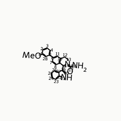 COc1cccc(-c2ccc3c(c2)CCN(C(N)=O)C3c2c[nH]c3ccccc23)c1